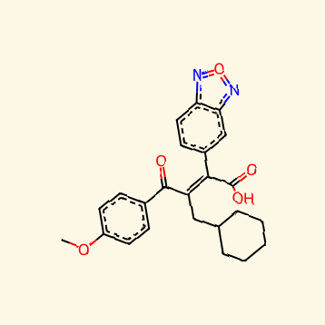 COc1ccc(C(=O)C(CC2CCCCC2)=C(C(=O)O)c2ccc3nonc3c2)cc1